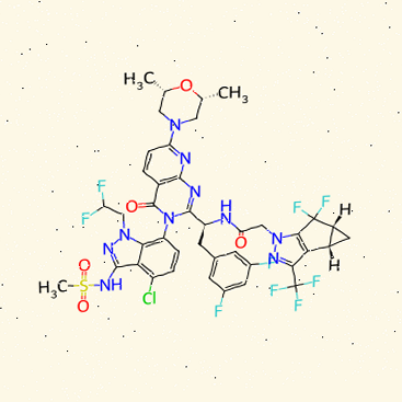 C[C@@H]1CN(c2ccc3c(=O)n(-c4ccc(Cl)c5c(NS(C)(=O)=O)nn(CC(F)F)c45)c([C@H](Cc4cc(F)cc(F)c4)NC(=O)Cn4nc(C(F)(F)F)c5c4C(F)(F)[C@@H]4C[C@H]54)nc3n2)C[C@H](C)O1